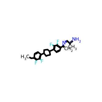 C=C(/N=C\C(C)=C/N)c1ccc(C2CCC(c3ccc(CC)c(F)c3F)CC2)c(F)c1F